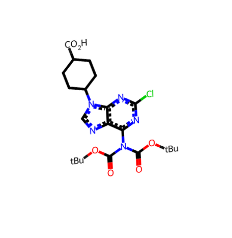 CC(C)(C)OC(=O)N(C(=O)OC(C)(C)C)c1nc(Cl)nc2c1ncn2C1CCC(C(=O)O)CC1